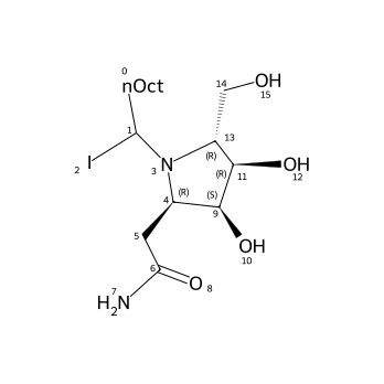 CCCCCCCCC(I)N1[C@H](CC(N)=O)[C@H](O)[C@H](O)[C@H]1CO